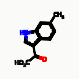 Cc1ccc2c(C(=O)C(=O)O)c[nH]c2c1